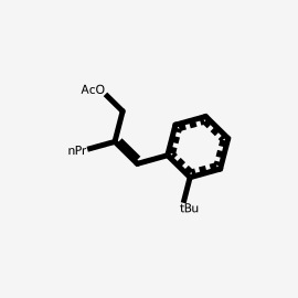 CCCC(=Cc1ccccc1C(C)(C)C)COC(C)=O